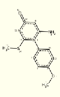 COc1ccc(-n2c(N)cc(=O)nc2SC)cc1